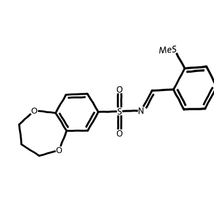 CSc1ccccc1C=NS(=O)(=O)c1ccc2c(c1)OCCCO2